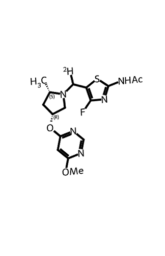 [2H]C(c1sc(NC(C)=O)nc1F)N1C[C@H](Oc2cc(OC)ncn2)C[C@@H]1C